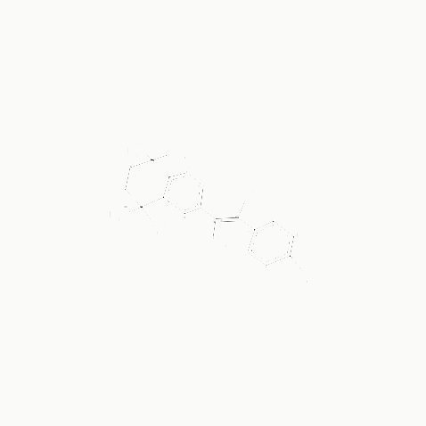 CC(=C(I)c1ccc(O)cc1)c1ccc2c(c1)C(C)(C)CCC2(C)C